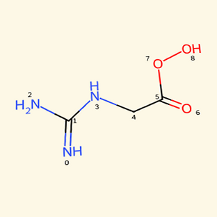 N=C(N)NCC(=O)OO